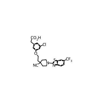 N#CC1(CCOc2cc(Cl)cc(CC(=O)O)c2)CCN(c2nc3ccc(C(F)(F)F)cc3s2)CC1